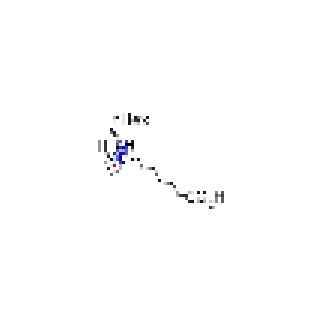 CCCCCCC=C[C@H]1C2CC([C@@H]1CC=CCCCC(=O)O)[N+]2=[N-]